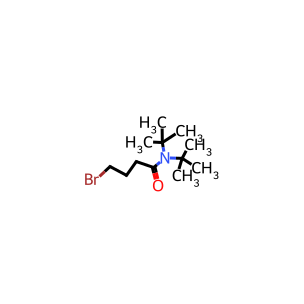 CC(C)(C)N(C(=O)CCCBr)C(C)(C)C